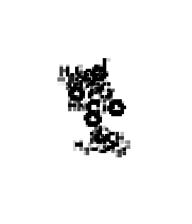 CC1(C)OB(c2ccc([C@@H](Nc3ccc(F)cc3)[C@@H](CC[C@H](O[Si](C)(C)C)c3ccc(F)cc3)C(=O)N3C(=O)OC[C@@H]3c3ccccc3)cc2)OC1(C)C